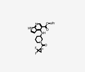 CCCOC(=O)c1cnc2[nH]ccc2c1NC1CCCN(C(=O)[C@H]2CC2(F)F)C1